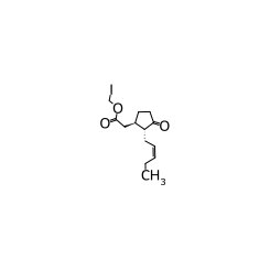 CC/C=C\C[C@H]1C(=O)CC[C@@H]1CC(=O)OCI